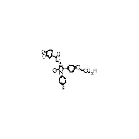 O=C(O)COc1ccc([C@@H]2[C@@H](SCC(=O)c3ccc4c(c3)OCO4)C(=O)N2c2ccc(F)cc2)cc1